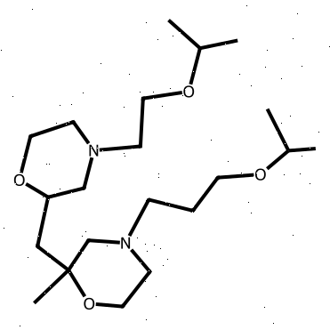 CC(C)OCCCN1CCOC(C)(CC2CN(CCOC(C)C)CCO2)C1